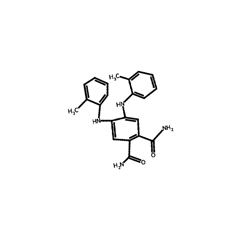 Cc1ccccc1Nc1cc(C(N)=O)c(C(N)=O)cc1Nc1ccccc1C